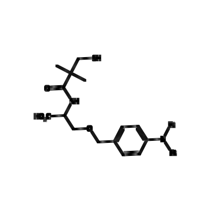 CCN(CC)c1ccc(COCC(NC(=O)C(C)(C)CS)C(=O)O)cc1